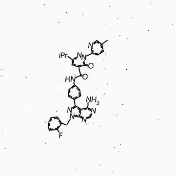 Cc1ccc(-n2nc(C(C)C)cc(C(=O)Nc3ccc(-c4nn(Cc5ccccc5F)c5ncnc(N)c45)cc3)c2=O)nc1